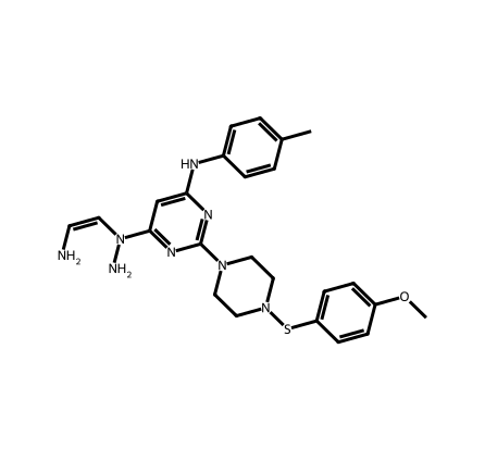 COc1ccc(SN2CCN(c3nc(Nc4ccc(C)cc4)cc(N(N)/C=C\N)n3)CC2)cc1